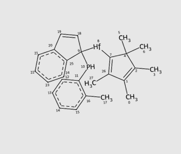 CC1=C(C)C(C)(C)[C]([Hf][C]2(Pc3ccccc3C)C=Cc3ccccc32)=C1C